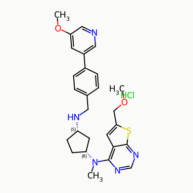 COCc1cc2c(N(C)[C@@H]3CC[C@H](NCc4ccc(-c5cncc(OC)c5)cc4)C3)ncnc2s1.Cl